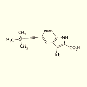 CCc1c(C(=O)O)[nH]c2ccc(C#C[Si](C)(C)C)cc12